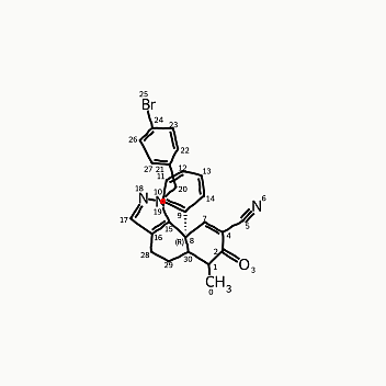 CC1C(=O)C(C#N)=C[C@]2(c3ccccc3)c3c(cnn3Cc3ccc(Br)cc3)CCC12